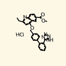 CCc1cc(OCc2ccc(-c3ccccc3-c3nnn[nH]3)cc2)c2cc(C(=O)OC)ccc2n1.Cl